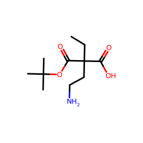 CCC(CCN)(C(=O)O)C(=O)OC(C)(C)C